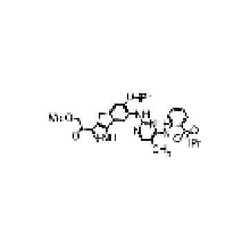 COCC(=O)c1n[nH]c2c1Cc1cc(OC(C)C)c(Nc3ncc(C)c(Nc4ccccc4S(=O)(=O)C(C)C)n3)cc1-2